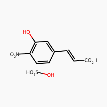 O=C(O)C=Cc1ccc([N+](=O)[O-])c(O)c1.O=S(=O)(O)O